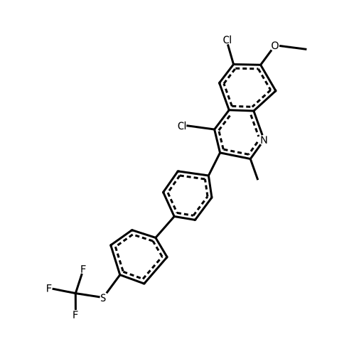 COc1cc2nc(C)c(-c3ccc(-c4ccc(SC(F)(F)F)cc4)cc3)c(Cl)c2cc1Cl